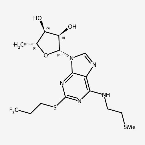 [CH2][C@H]1O[C@@H](n2cnc3c(NCCSC)nc(SCCC(F)(F)F)nc32)[C@H](O)[C@@H]1O